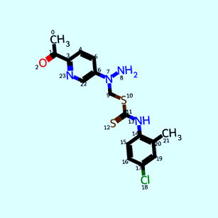 CC(=O)c1ccc(N(N)CSC(=S)Nc2ccc(Cl)cc2C)cn1